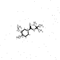 CO[C@@H]1CN(C(=O)OC(C)(C)C)CC[C@H]1O